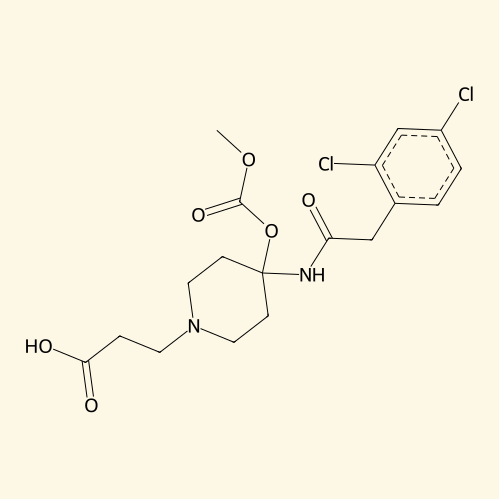 COC(=O)OC1(NC(=O)Cc2ccc(Cl)cc2Cl)CCN(CCC(=O)O)CC1